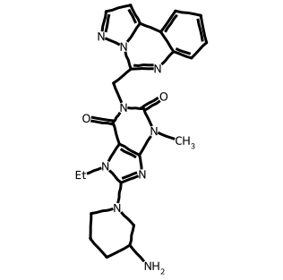 CCn1c(N2CCCC(N)C2)nc2c1c(=O)n(Cc1nc3ccccc3c3ccnn13)c(=O)n2C